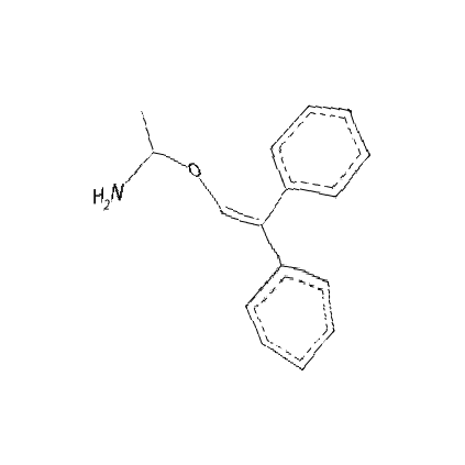 CC(N)OC=C(c1ccccc1)c1ccccc1